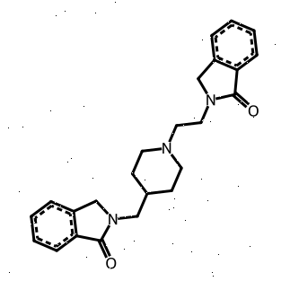 O=C1c2ccccc2CN1CCN1CCC(CN2Cc3ccccc3C2=O)CC1